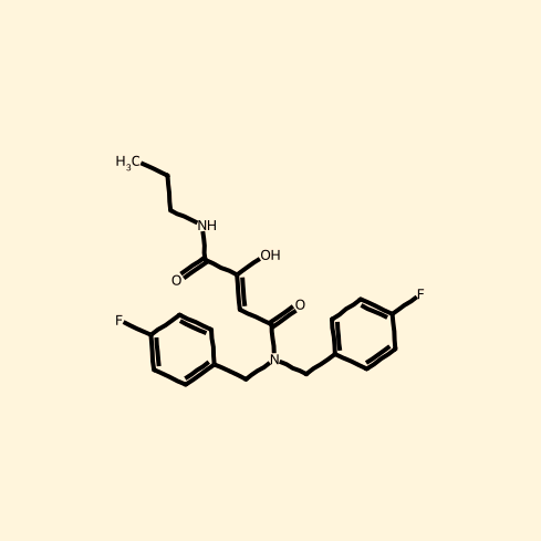 CCCNC(=O)/C(O)=C/C(=O)N(Cc1ccc(F)cc1)Cc1ccc(F)cc1